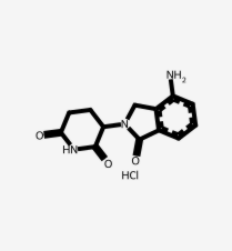 Cl.Nc1cccc2c1CN(C1CCC(=O)NC1=O)C2=O